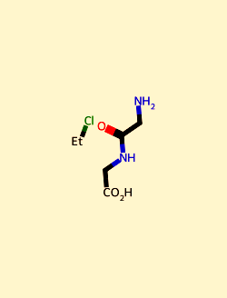 CCCl.NCC(=O)NCC(=O)O